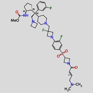 COC(=O)N[C@H]1CCC[C@@H]1[C@](CN1CCC1)(c1cccc(F)c1)C1CCN(CC2(F)CN(c3ccc(S(=O)(=O)C4CN(C(=O)/C=C/CN(C)C)C4)cc3F)C2)CC1